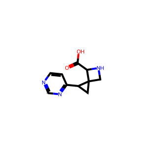 O=C(O)C1NCC12CC2c1ccn[c]n1